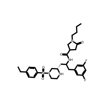 CCCCN1CC(C(=O)NC(Cc2cc(F)cc(F)c2)C[C@H]2CN(S(=O)(=O)c3ccc(CC)cc3)CCN2)CC1=O